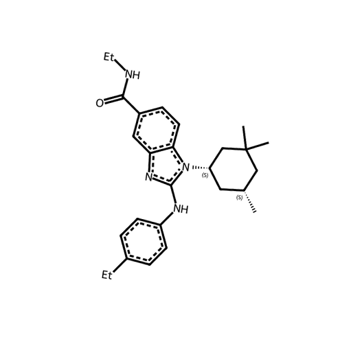 CCNC(=O)c1ccc2c(c1)nc(Nc1ccc(CC)cc1)n2[C@H]1C[C@@H](C)CC(C)(C)C1